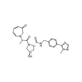 Cc1ncsc1-c1ccc(CNC(=O)[C@@H]2C[C@@H](O)CN2C(=O)C(C)N2C=CC=CC(=O)C2)cc1